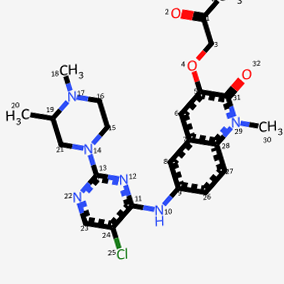 CC(=O)COc1cc2cc(Nc3nc(N4CCN(C)C(C)C4)ncc3Cl)ccc2n(C)c1=O